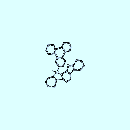 C[N+]1(c2ccc3c4ccccc4c4ccccc4c3c2)c2ccccc2-c2ccc3c(oc4ccccc43)c21